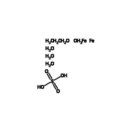 O.O.O.O.O.O.O.O=S(=O)(O)O.[Fe].[Fe]